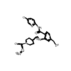 CC(C)(C)OC(=O)N1CCC(CNc2cc(CO)ccc2C(=O)Nc2ccc(Cl)cn2)CC1